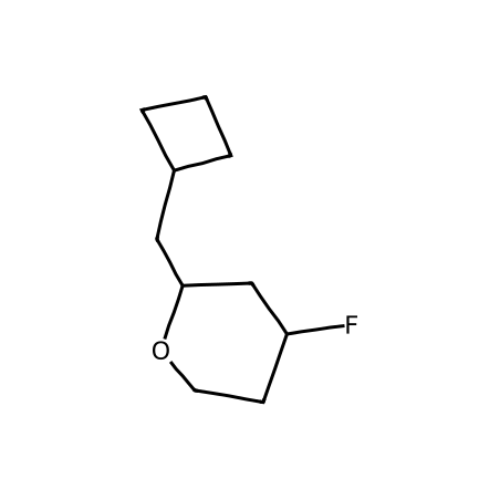 FC1CCOC(CC2CCC2)C1